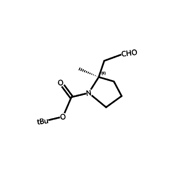 CC(C)(C)OC(=O)N1CCC[C@]1(C)CC=O